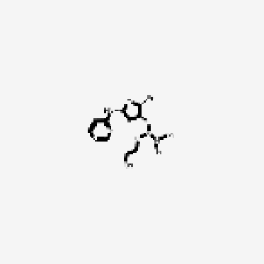 CC[C@H]1O[C@@H](Nc2ccncn2)C[C@@H]1OP(OCCC#N)N(C(C)C)C(C)C